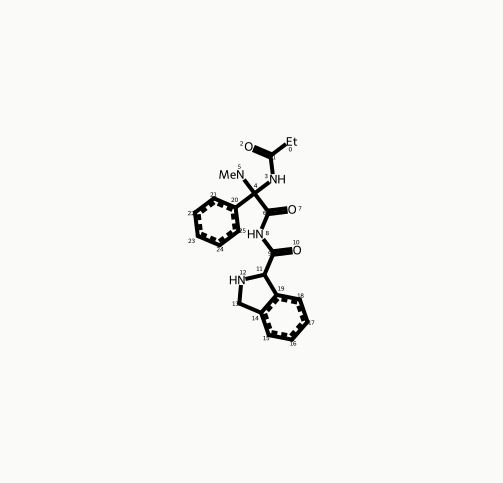 CCC(=O)NC(NC)(C(=O)NC(=O)C1NCc2ccccc21)c1ccccc1